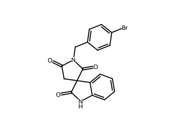 O=C1CC2(C(=O)Nc3ccccc32)C(=O)N1Cc1ccc(Br)cc1